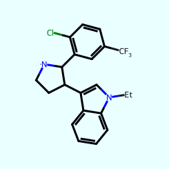 CCn1cc(C2CC[N]C2c2cc(C(F)(F)F)ccc2Cl)c2ccccc21